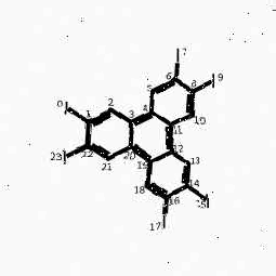 Ic1cc2c3cc(I)c(I)cc3c3cc(I)c(I)cc3c2cc1I